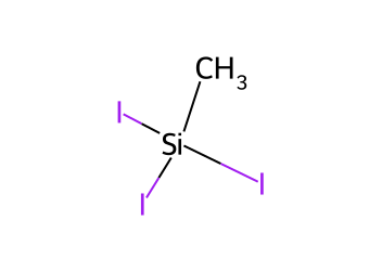 C[Si](I)(I)I